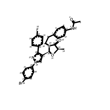 CC(=O)Nc1ccc(CCN2C(=O)[C@@H](C)O[C@H]2c2cn(-c3ccc(Br)cc3)nc2-c2ccc(F)cc2)cc1